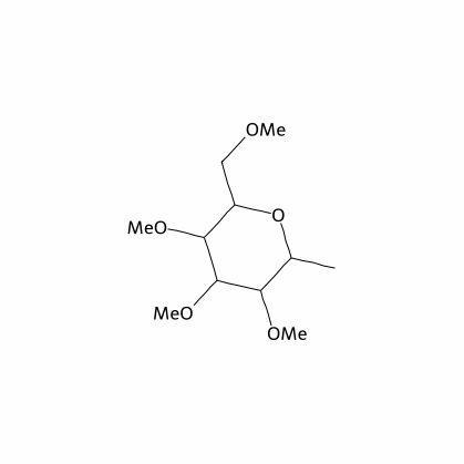 COCC1OC(C)C(OC)C(OC)C1OC